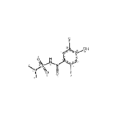 CN(C)S(=O)(=O)NC(=O)c1cc(F)c(O)cc1F